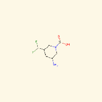 NC1CC(C(F)F)CN(C(=O)O)C1